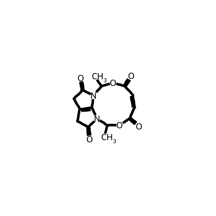 CC1OC(=O)/C=C\C(=O)OC(C)N2C(=O)CC3=C2N1C(=O)C3